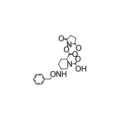 O=C(ON1C(=O)CCC1=O)[C@@H]1CC[C@@H](NOCc2ccccc2)CN1C(=O)O